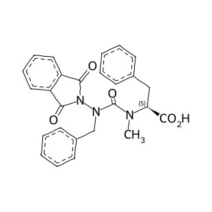 CN(C(=O)N(Cc1ccccc1)N1C(=O)c2ccccc2C1=O)[C@@H](Cc1ccccc1)C(=O)O